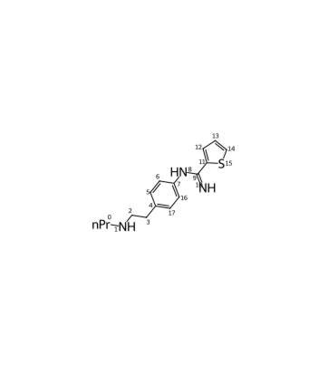 CCCNCCc1ccc(NC(=N)c2cccs2)cc1